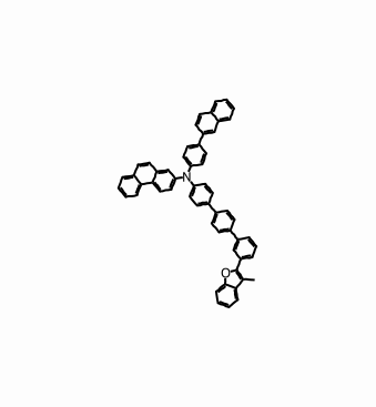 Cc1c(-c2cccc(-c3ccc(-c4ccc(N(c5ccc(-c6ccc7ccccc7c6)cc5)c5ccc6c(ccc7ccccc76)c5)cc4)cc3)c2)oc2ccccc12